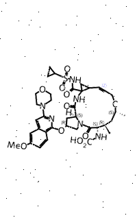 COc1ccc2c(O[C@@H]3C[C@H]4C(=O)NC5(C(=O)NS(=O)(=O)C6CC6)CC5/C=C\CC[C@H](C)C[C@@H](C)[C@H](NC(=O)O)C(=O)N4C3)nc(N3CCOCC3)cc2c1